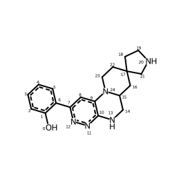 Oc1ccccc1-c1cc2c(nn1)NCC1CC3(CCNC3)CCN21